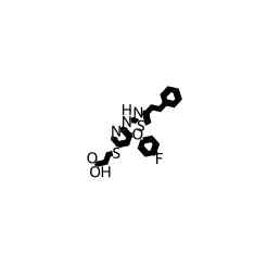 O=C(O)CCSc1cnc(Nc2nc(CCc3ccccc3)cs2)c(Oc2ccc(F)cc2)c1